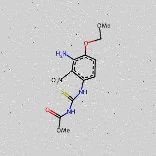 COCOc1ccc(NC(=S)NC(=O)OC)c([N+](=O)[O-])c1N